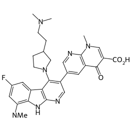 CNc1cc(F)cc2c1[nH]c1ncc(-c3cnc4c(c3)c(=O)c(C(=O)O)cn4C)c(N3CCC(CCN(C)C)C3)c12